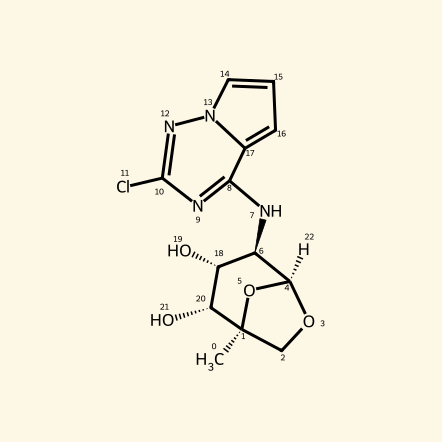 C[C@@]12CO[C@@H](O1)[C@H](Nc1nc(Cl)nn3cccc13)[C@@H](O)[C@H]2O